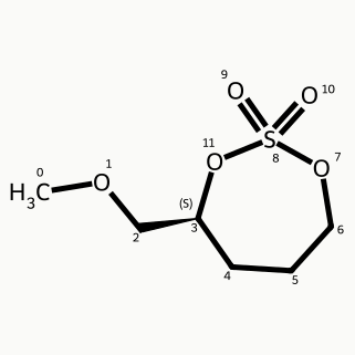 COC[C@@H]1CCCOS(=O)(=O)O1